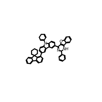 C1=CC(n2c3ccc(C4=NC(c5ccccc5)Nc5c4oc4ccccc54)cc3c3cc(-c4cccc5c4C4(CCCCC4)c4ccccc4-5)ccc32)=CCC1